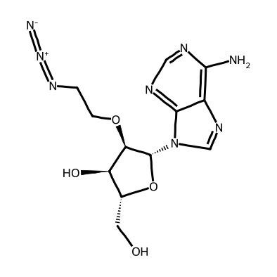 [N-]=[N+]=NCCO[C@@H]1[C@H](O)[C@@H](CO)O[C@H]1n1cnc2c(N)ncnc21